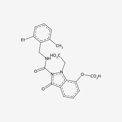 CCc1cccc(C)c1CNC(=O)n1c(=O)c2cccc(OC(=O)O)c2n1CC(=O)O